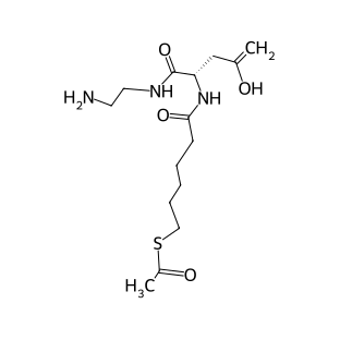 C=C(O)C[C@H](NC(=O)CCCCCSC(C)=O)C(=O)NCCN